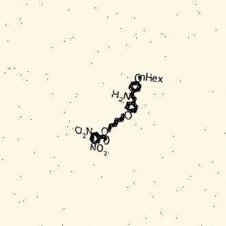 CCCCCCOc1ccc(/C(N)=C/c2ccc(OCCCCCCOC(=O)c3cc([N+](=O)[O-])cc([N+](=O)[O-])c3)cc2)cc1